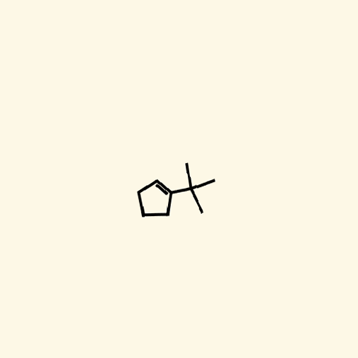 CC(C)(C)C1=CCCC1